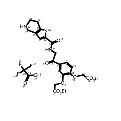 CCOC(=O)COc1cc(C(=O)CNC(=O)c2cc3c(s2)CCNC3)ccc1OCC(=O)O.O=C(O)C(F)(F)F